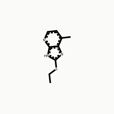 CCSc1nc2c(C)ccnc2[nH]1